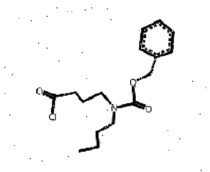 CCCCN(CCCC(=O)Cl)C(=O)OCc1ccccc1